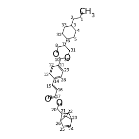 CCCC1CCC(C2COC(c3ccc(C=CC(=O)OCC4CC5C=CC4C5)cc3)OC2)CC1